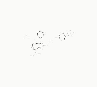 C1CC2CC1O2.CCNc1ncn(C(OC)c2ccccc2)c2nc(C(C)COCc3ccccc3)nc1-2